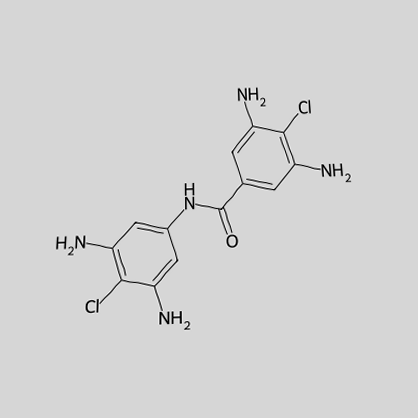 Nc1cc(NC(=O)c2cc(N)c(Cl)c(N)c2)cc(N)c1Cl